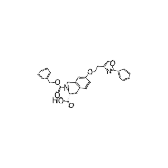 O=C(O)[C@H]1Cc2ccc(OCCc3coc(-c4ccccc4)n3)cc2CN1C(=O)OCc1ccccc1